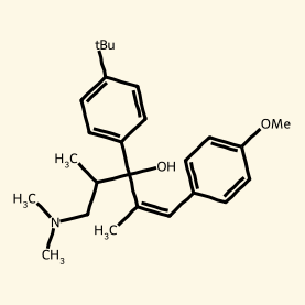 COc1ccc(C=C(C)C(O)(c2ccc(C(C)(C)C)cc2)C(C)CN(C)C)cc1